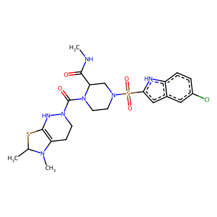 CNC(=O)C1CN(S(=O)(=O)c2cc3cc(Cl)ccc3[nH]2)CCN1C(=O)N1CCC2=C(N1)SC(C)N2C